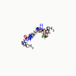 Cc1ccnc(CNC(=O)c2cn(CC(F)CCc3nnc(NC(=O)CC4C=C(OC(F)(F)F)C=CC4C)s3)nn2)c1